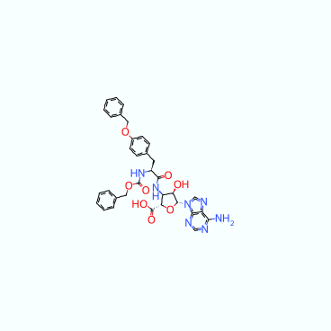 Nc1ncnc2c1ncn2[C@@H]1O[C@H](C(=O)O)[C@@H](NC(=O)[C@H](Cc2ccc(OCc3ccccc3)cc2)NC(=O)OCc2ccccc2)[C@H]1O